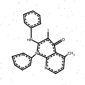 Cc1ccnc2c1c(=O)c(I)c(Nc1ccccc1)n2-c1ccccc1